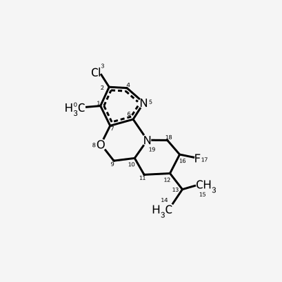 Cc1c(Cl)cnc2c1OCC1CC(C(C)C)C(F)CN21